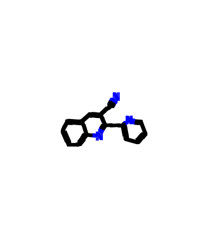 N#Cc1cc2ccccc2nc1-c1ccccn1